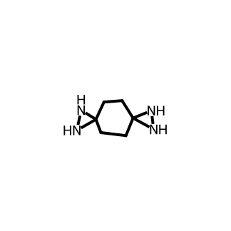 C1CC2(CCC13NN3)NN2